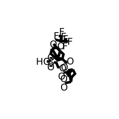 O=C1OC2C3CC(C2OC(=O)C24CC5CC(C2)C2(OCC(C(F)(F)F)(C(F)(F)F)O2)C(C5)C4)C(C(=O)OCCS(=O)(=O)O)C13